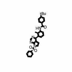 Cc1c(NC(=O)c2ccc(C(C)(C)C)cc2)cccc1-c1ncnc2c1ccn2S(=O)(=O)c1ccccc1